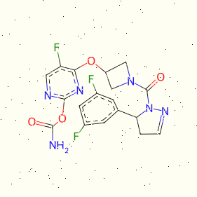 NC(=O)Oc1ncc(F)c(OC2CN(C(=O)N3N=CCC3c3cc(F)cc(F)c3)C2)n1